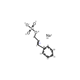 O=S(=O)([O-])OC/C=C/c1ccccc1.[Na+]